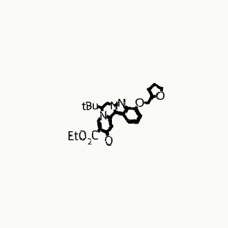 CCOC(=O)c1cn2c(cc1=O)-c1c3cccc(OCC4CCCO4)c3nn1CC2C(C)(C)C